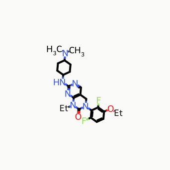 CCOc1ccc(F)c(N2Cc3cnc(NC4CCC(N(C)C)CC4)nc3N(CC)C2=O)c1F